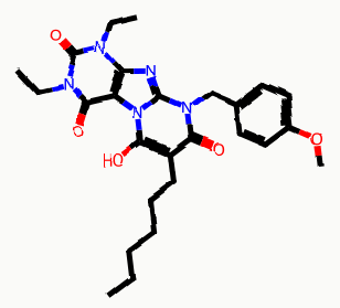 CCCCCCc1c(O)n2c3c(=O)n(CC)c(=O)n(CC)c3nc2n(Cc2ccc(OC)cc2)c1=O